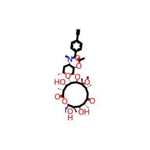 C#Cc1ccc(CN(C)[C@H]2C[C@@H](C)O[C@@H](O[C@@H]3[C@@H](C)[C@H](O)[C@@H](C)C(=O)O[C@H](I)[C@@](C)(O)[C@H](O)[C@@H](C)C(=O)C[C@@H](C)[C@@]3(C)OC)[C@@H]2OC(C)=O)cc1